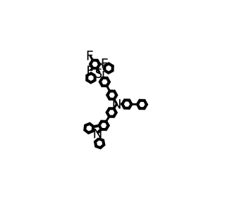 Fc1cc(F)c([Si](c2ccccc2)(c2ccccc2)c2ccc(-c3ccc(N(c4ccc(-c5ccccc5)cc4)c4ccc(-c5ccc6c(c5)c5ccccc5n6-c5ccccc5)cc4)cc3)cc2)c(F)c1